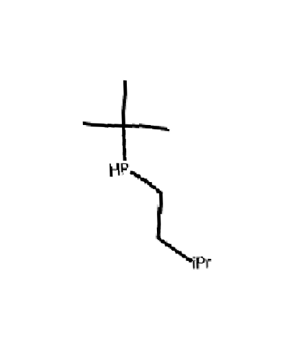 CC(C)CCPC(C)(C)C